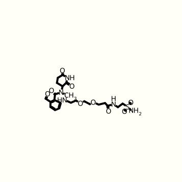 CN(C(=O)c1c(C=O)cccc1NCCOCCOCCC(=O)NCCS(N)(=O)=O)C1CCC(=O)NC1=O